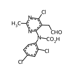 Cc1nc(Cl)c(CC=O)c(N(C(=O)O)c2ccc(Cl)cc2Cl)n1